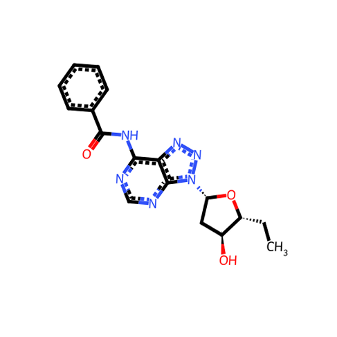 CC[C@H]1O[C@@H](n2nnc3c(NC(=O)c4ccccc4)ncnc32)C[C@@H]1O